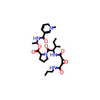 CCCNC(=O)C1OC1C(=O)NC(C(=O)N1CCCC1C(=O)OC(C)NC(=O)C1=CN(C)CC=C1)C(C)CC